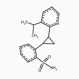 CC(C)c1cccnc1C1CC1c1ccccc1S(N)(=O)=O